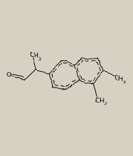 Cc1ccc2cc(C(C)C=O)ccc2c1C